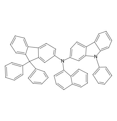 c1ccc(-n2c3ccccc3c3ccc(N(c4ccc5c(c4)C(c4ccccc4)(c4ccccc4)c4ccccc4-5)c4cccc5ccccc45)cc32)cc1